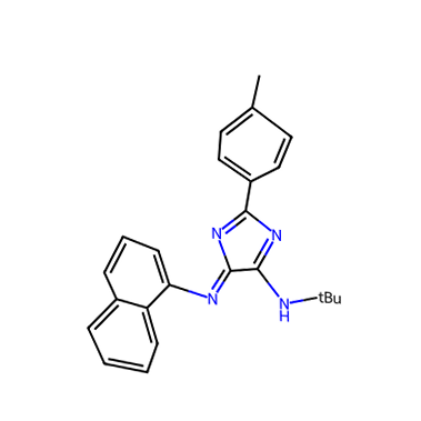 Cc1ccc(C2=N/C(=N\c3cccc4ccccc34)C(NC(C)(C)C)=N2)cc1